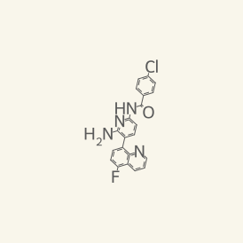 Nc1nc(NC(=O)c2ccc(Cl)cc2)ccc1-c1ccc(F)c2cccnc12